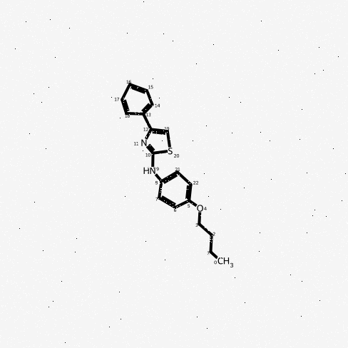 CCCCOc1ccc(Nc2nc(-c3ccccc3)cs2)cc1